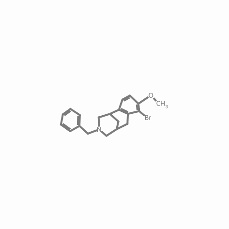 COc1ccc2c(c1Br)CC1CC2CN(Cc2ccccc2)C1